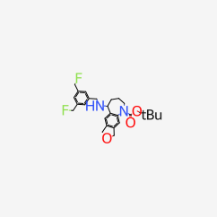 CC(C)(C)OC(=O)N1CCC[C@H](NCc2cc(CF)cc(CF)c2)c2cc3c(cc21)COC3